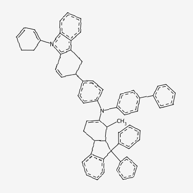 CC1C(N(c2ccc(-c3ccccc3)cc2)c2ccc(C3C=Cc4c(c5ccccc5n4C4=CC=CCC4)C3)cc2)=CCC2c3ccccc3C(c3ccccc3)(c3ccccc3)C12